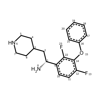 N[C@H](CC1CCNCC1)c1ccc(F)c(Oc2ccccc2)c1F